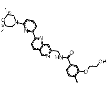 Cc1ccc(C(=O)NCc2cc3nc(-c4cccc(N5C[C@@H](C)O[C@@H](C)C5)n4)ccc3cn2)cc1OCCO